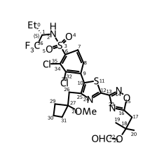 CC[C@H](NS(=O)(=O)c1ccc(-c2sc(-c3noc(CC(C)(C)OC=O)n3)nc2CC2(OC)CCC2)c(Cl)c1Cl)C(F)(F)F